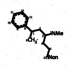 [CH2]C(CC(CCCCCCCCCCC)NC)c1ccccc1